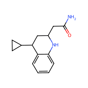 NC(=O)CC1CC(C2CC2)c2ccccc2N1